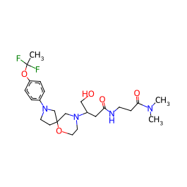 CN(C)C(=O)CCNC(=O)CC(CO)N1CCOC2(CCN(c3ccc(OC(C)(F)F)cc3)C2)C1